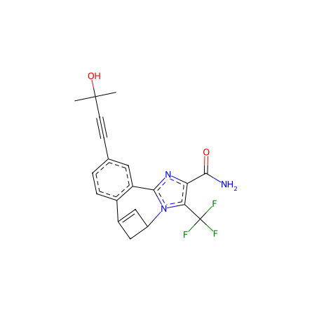 CC(C)(O)C#Cc1ccc2c(c1)-c1nc(C(N)=O)c(C(F)(F)F)n1C1C=C2C1